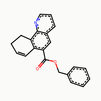 O=C(OCc1ccccc1)c1cc2cccnc2c2c1C=CCC2